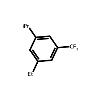 CCc1cc([C](C)C)cc(C(F)(F)F)c1